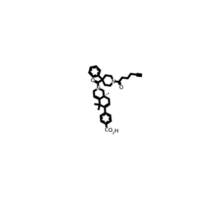 C#CCCCC(=O)N1CCC(C(=O)N2CC=C3C(C)(C)C(c4ccc(C(=O)O)cc4)=CC[C@]3(C)C2)(c2ccccc2)CC1